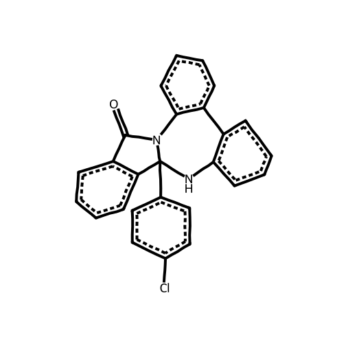 O=C1c2ccccc2C2(c3ccc(Cl)cc3)Nc3ccccc3-c3ccccc3N12